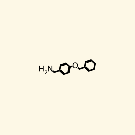 NCc1ccc(OCC2=CCCC=C2)cc1